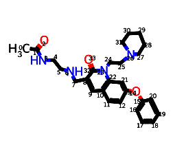 CC(=O)NCCNCc1cc2ccc(Oc3ccccc3)cc2n(CCN2CCCCC2)c1=O